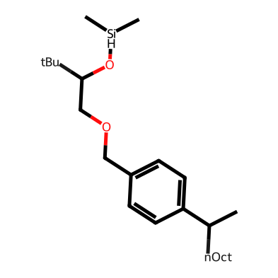 CCCCCCCCC(C)c1ccc(COCC(O[SiH](C)C)C(C)(C)C)cc1